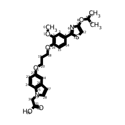 COc1cc(-c2nc(OC(C)C)cs2)ccc1OCCCOc1ccc2c(ccn2CC(=O)O)c1